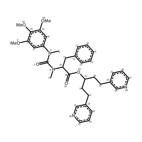 COc1cc(N(C)C(=O)N(C)C(Cc2ccccc2)C(=O)OC(CCc2cccnc2)CCc2cccnc2)cc(OC)c1OC